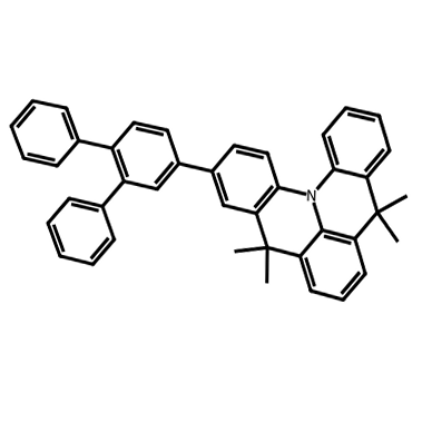 CC1(C)c2ccccc2N2c3ccc(-c4ccc(-c5ccccc5)c(-c5ccccc5)c4)cc3C(C)(C)c3cccc1c32